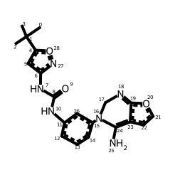 CC(C)(C)c1cc(NC(=O)Nc2cccc(N3CN=c4occc4=C3N)c2)no1